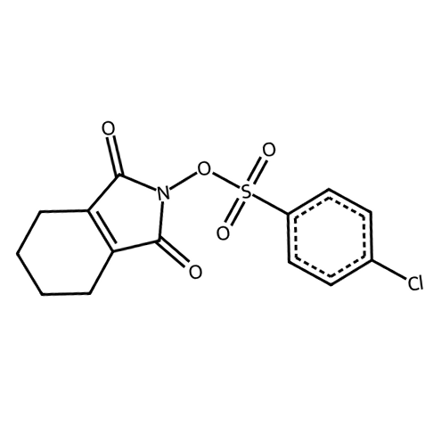 O=C1C2=C(CCCC2)C(=O)N1OS(=O)(=O)c1ccc(Cl)cc1